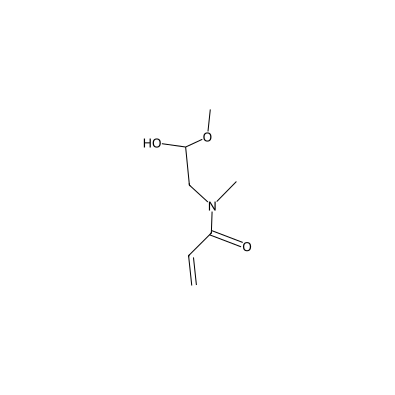 C=CC(=O)N(C)CC(O)OC